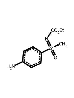 CCOC(=O)N=[S@](C)(=O)c1ccc(N)cc1